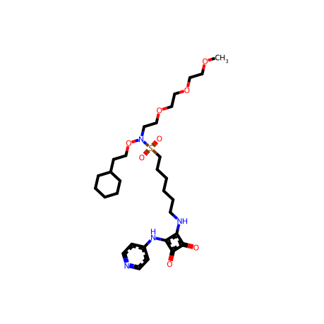 COCCOCCOCCN(OCCC1CCCCC1)S(=O)(=O)CCCCCCNc1c(Nc2ccncc2)c(=O)c1=O